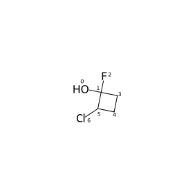 OC1(F)CCC1Cl